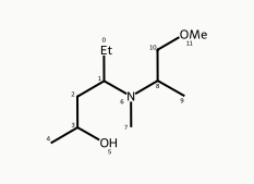 CCC(CC(C)O)N(C)C(C)COC